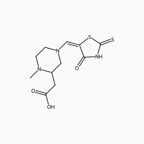 CN1CCN(C=C2SC(=S)NC2=O)CC1CC(=O)O